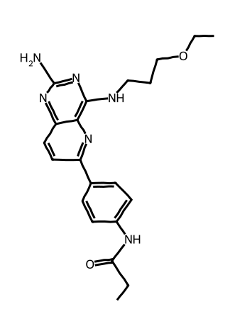 CCOCCCNc1nc(N)nc2ccc(-c3ccc(NC(=O)CC)cc3)nc12